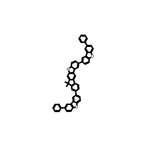 CC1(C)c2cc(-c3ccc4oc5ccc(-c6ccccc6)cc5c4c3)ccc2-c2cc3c(cc21)OC1C=CC(c2ccc4oc5ccc(-c6ccccc6)cc5c4c2)=CC31